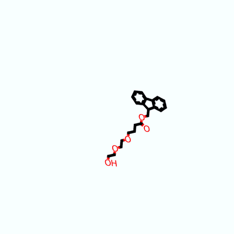 O=C(CCCOCCOCCO)OCC1c2ccccc2-c2ccccc21